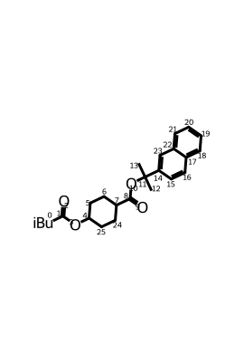 CCC(C)C(=O)OC1CCC(C(=O)OC(C)(C)c2ccc3ccccc3c2)CC1